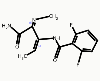 C/C=C(NC(=O)c1c(F)cccc1F)\C(=N/C)C(N)=O